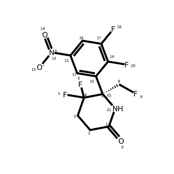 O=C1CCC(F)(F)[C@@](CF)(c2cc([N+](=O)[O-])cc(F)c2F)N1